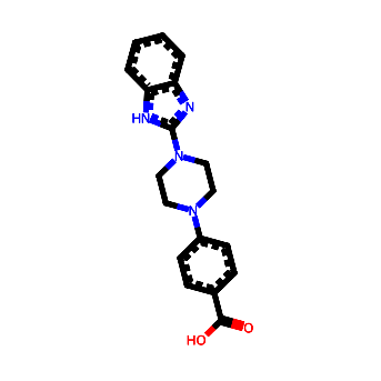 O=C(O)c1ccc(N2CCN(c3nc4ccccc4[nH]3)CC2)cc1